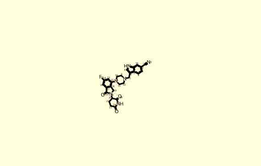 N#Cc1ccc2c(CN3CCN(c4cc(F)cc5c4CN(C4CCC(=O)NC4=O)C5=O)CC3)c[nH]c2c1